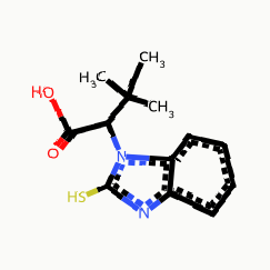 CC(C)(C)C(C(=O)O)n1c(S)nc2ccccc21